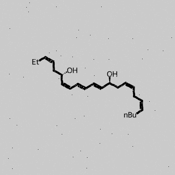 CC/C=C\C[C@H](O)\C=C/C=C/C=C/[C@@H](O)C/C=C\C/C=C\CCCC